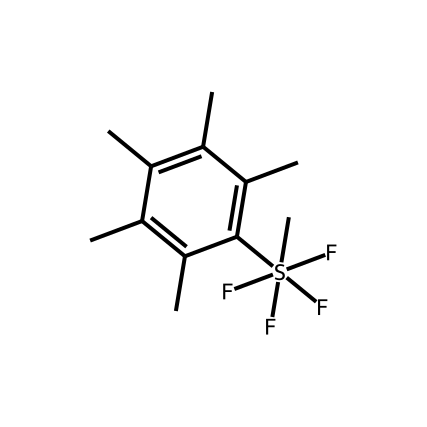 Cc1c(C)c(C)c(S(C)(F)(F)(F)F)c(C)c1C